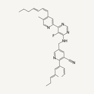 C\C=C/C(=C\C(C)=C\CC)c1ncc(CNc2ncnc(-c3cc(/C=C\C=C\CCC)c(C)cn3)c2F)cc1C#N